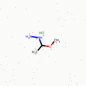 COC(C)NN.Cl